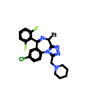 CCC1N=C(c2c(F)cccc2F)c2cc(Cl)ccc2-n2c(CN3CCCCC3)nnc21